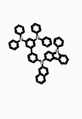 c1ccc(N(c2ccccc2)c2cc(-c3cccc(N(c4ccc5ccccc5c4)c4ccc5c(c4)c4ccccc4n5-c4ccccc4)c3)cc(N(c3ccccc3)c3ccccc3)c2)cc1